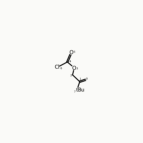 C=C(COC(=O)Cl)C(C)(C)C